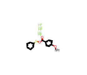 CCCOc1ccc(C(=O)OSc2ccccc2)cc1.F.F.F.F.F